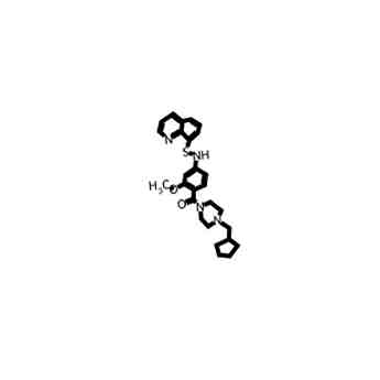 COc1cc(NSc2cccc3cccnc23)ccc1C(=O)N1CCN(CC2CCCC2)CC1